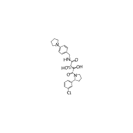 O=C(NCc1ccc(N2CCCC2)cc1)[C@H](O)[C@@H](O)C(=O)N1CCCC1c1cccc(Cl)c1